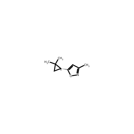 Cc1cc([C@@H]2CC2(C)C)on1